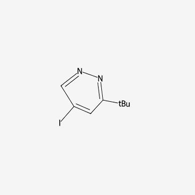 CC(C)(C)c1cc(I)cnn1